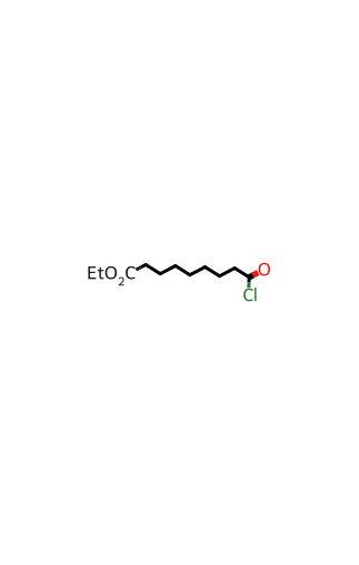 CCOC(=O)CCCCCCCC(=O)Cl